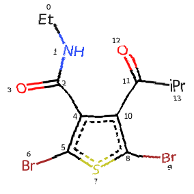 CCNC(=O)c1c(Br)sc(Br)c1C(=O)C(C)C